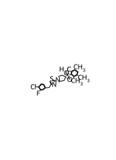 Cc1cc(C)c(C)c(S(=O)(=O)C2CCN(c3nc(Cc4ccc(Cl)c(F)c4)cs3)CC2)c1C